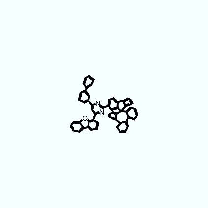 c1ccc(-c2cccc(-c3cc(-c4cccc5c4oc4ccccc45)nc(-c4ccc5c(c4)C4(c6ccccc6-c6ccccc6-c6ccccc64)c4ccccc4-5)n3)c2)cc1